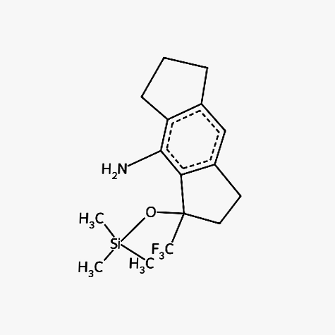 C[Si](C)(C)OC1(C(F)(F)F)CCc2cc3c(c(N)c21)CCC3